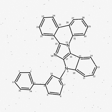 c1ccc(-c2cccc(-n3c4ccccc4c4c3nc3c5ccccc5c5ccccc5n34)c2)cc1